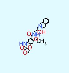 COc1cc2c(cc1C(=O)NC[C@H](O)CN1CCc3ccccc3C1)NC(=O)[C@]1(CCOC1)O2